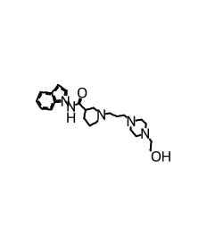 O=C(Nn1ccc2ccccc21)C1CCCN(CCCN2CCN(CCO)CC2)C1